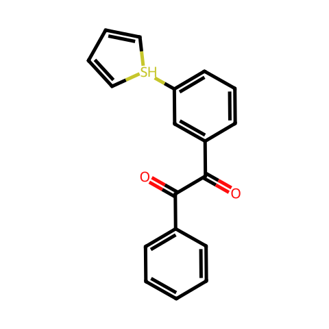 O=C(C(=O)c1cccc([SH]2C=CC=C2)c1)c1ccccc1